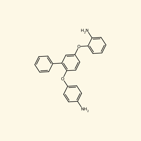 Nc1ccc(Oc2ccc(Oc3ccccc3N)cc2-c2ccccc2)cc1